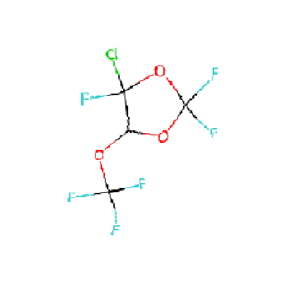 FC(F)(F)OC1OC(F)(F)OC1(F)Cl